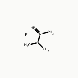 CN(C)[N+](=P)P.[F-]